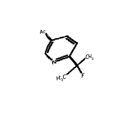 CC(=O)c1ccc(C(C)(C)F)nc1